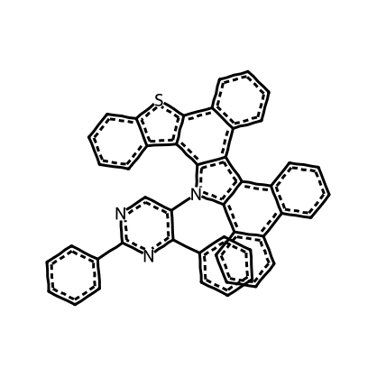 c1ccc(-c2ncc(-n3c4c5ccccc5c5ccccc5c4c4c5ccccc5c5sc6ccccc6c5c43)c(-c3ccccc3)n2)cc1